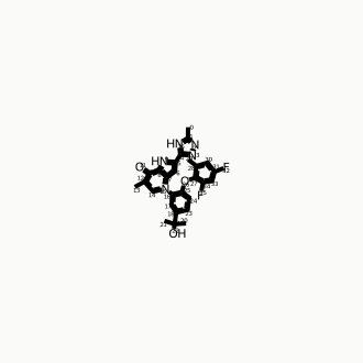 Cc1nnc(-c2cc3c([nH]2)c(=O)c(C)cn3-c2cc(C(C)(C)O)ccc2Oc2c(C)cc(F)cc2F)[nH]1